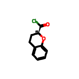 O=C(Cl)[C@H]1CCc2ccccc2O1